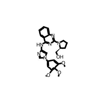 COc1cc(-n2cnc(Nc3nc(N4CCC[C@H]4CO)nc4ccccc34)c2)cc(OC)c1OC